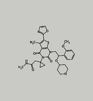 CNC(=O)CC1(n2c(=O)c3c(C)c(-c4ncco4)sc3n(CC(OC3CCOCC3)c3ccccc3OC)c2=O)CC1